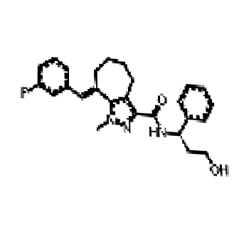 Cn1nc(C(=O)N[C@H](CCO)c2ccccc2)c2c1/C(=C/c1cccc(F)c1)CCCC2